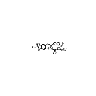 CC(C)(C)OC(=O)NC(Cc1ccc2nc(C#N)[nH]c2c1)C(=O)O